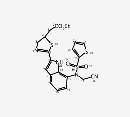 CCOC(=O)CC1CN=C(c2cc3cccc(N(CC#N)S(=O)(=O)c4cccs4)c3[nH]2)S1